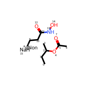 CCC(C)OC(C)=O.CCCCCCCCCCCC(=O)NO.[NaH]